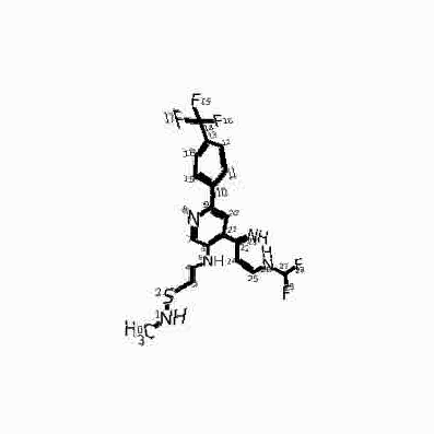 CNSCCNc1cnc(-c2ccc(C(F)(F)F)cc2)cc1C(=N)/C=C\NC(F)F